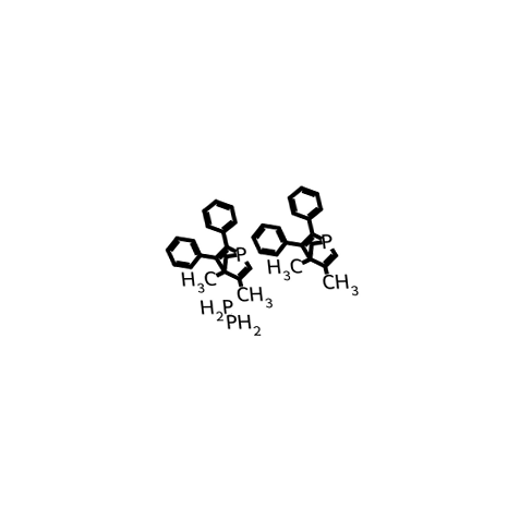 CC1=CP2CC1(C)C(c1ccccc1)=C2c1ccccc1.CC1=CP2CC1(C)C(c1ccccc1)=C2c1ccccc1.PP